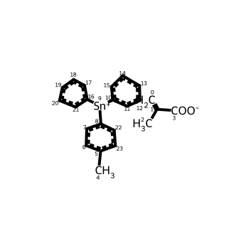 C=C(C)C(=O)[O-].Cc1cc[c]([Sn+]([c]2ccccc2)[c]2ccccc2)cc1